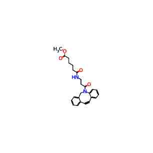 COC(=O)CCCCC(=O)NCCC(=O)N1Cc2ccccc2C#Cc2ccccc21